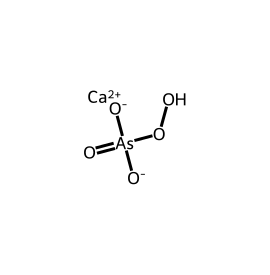 O=[As]([O-])([O-])OO.[Ca+2]